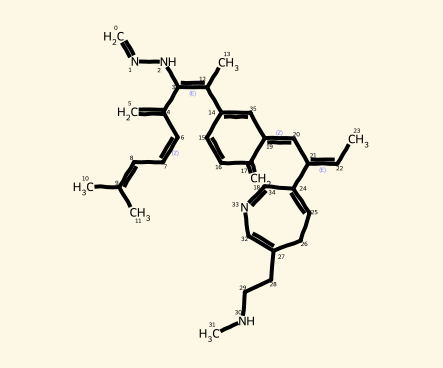 C=NN/C(C(=C)/C=C\C=C(C)C)=C(\C)c1ccc(=C)/c(=C\C(=C/C)C2=CCC(CCNC)=CN=C2)c1